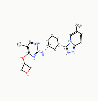 O=C(O)c1ccc2nnc([C@H]3CCC[C@@H](Nc4ncc(C(F)(F)F)c(OC5COC5)n4)C3)n2c1